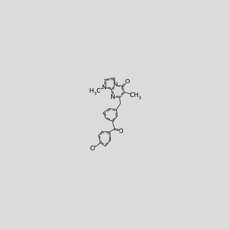 Cc1c(Cc2cccc(C(=O)c3ccc(Cl)cc3)c2)nc2n(C)ccn2c1=O